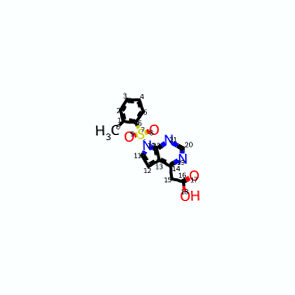 Cc1ccccc1S(=O)(=O)n1ccc2c(CC(=O)O)ncnc21